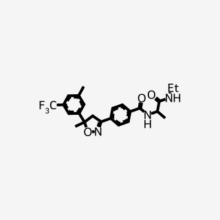 CCNC(=O)C(C)NC(=O)c1ccc(C2=NOC(C)(c3cc(C)cc(C(F)(F)F)c3)C2)cc1